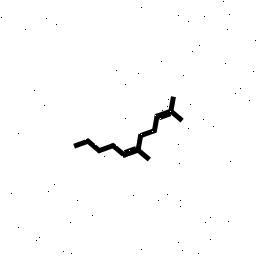 C[CH]CCC=C(C)CCC=C(C)C